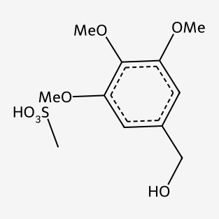 COc1cc(CO)cc(OC)c1OC.CS(=O)(=O)O